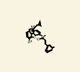 Cc1cccc(/C=C/C(=O)N(C)C2C=C[C@@]3(O)[C@H]4Cc5ccc(O)c6c5[C@@]3(CCN4CC3CC3)C2O6)c1